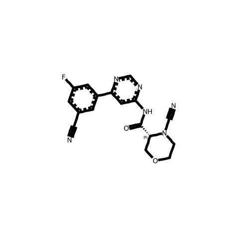 N#Cc1cc(F)cc(-c2cc(NC(=O)[C@H]3COCCN3C#N)ncn2)c1